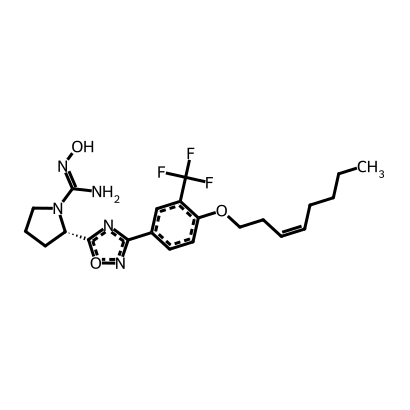 CCCC/C=C\CCOc1ccc(-c2noc([C@@H]3CCCN3/C(N)=N/O)n2)cc1C(F)(F)F